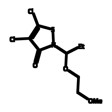 CCC(OCCOC)n1sc(Cl)c(Cl)c1=O